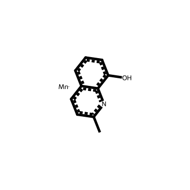 Cc1ccc2cccc(O)c2n1.[Mn]